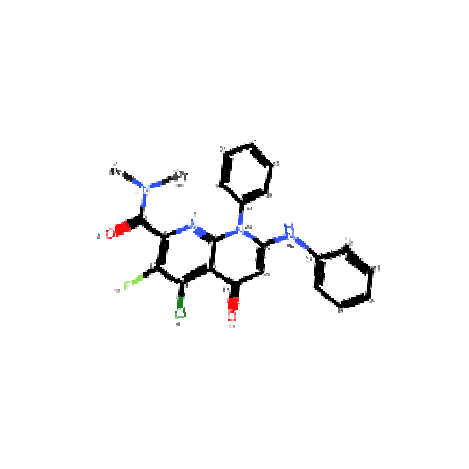 CC(C)N(C(=O)c1nc2c(c(Cl)c1F)c(=O)cc(Nc1ccccc1)n2-c1ccccc1)C(C)C